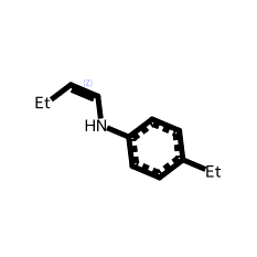 CC/C=C\Nc1ccc(CC)cc1